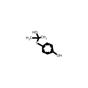 CC(C)(O)Sc1ccc(O)cc1